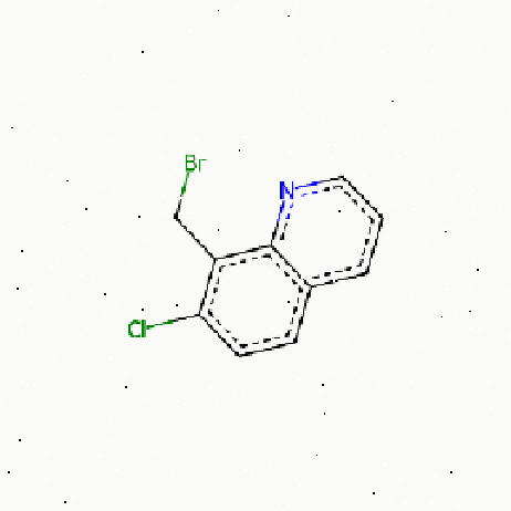 Clc1ccc2cccnc2c1CBr